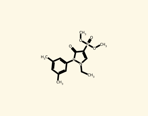 CCn1cc(P(=O)(OC)OC)c(=O)n1-c1cc(C)cc(C)c1